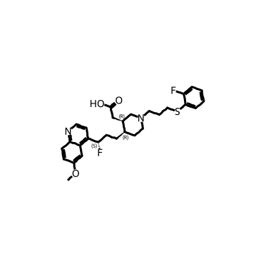 COc1ccc2nccc([C@@H](F)CC[C@@H]3CCN(CCCSc4ccccc4F)C[C@@H]3CC(=O)O)c2c1